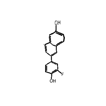 Oc1ccc2cc(-c3ccc(O)c(F)c3)c[c]c2c1